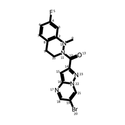 CN1c2cc(F)ccc2CCN1C(=O)c1cc2ncc(Br)cn2n1